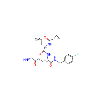 COC[C@H](NC(=O)C1CC1)C(=O)N[C@@H](CCC(=O)C=N)C(=O)NCc1ccc(F)cc1